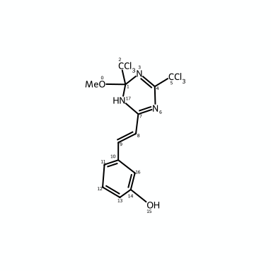 COC1(C(Cl)(Cl)Cl)N=C(C(Cl)(Cl)Cl)N=C(C=Cc2cccc(O)c2)N1